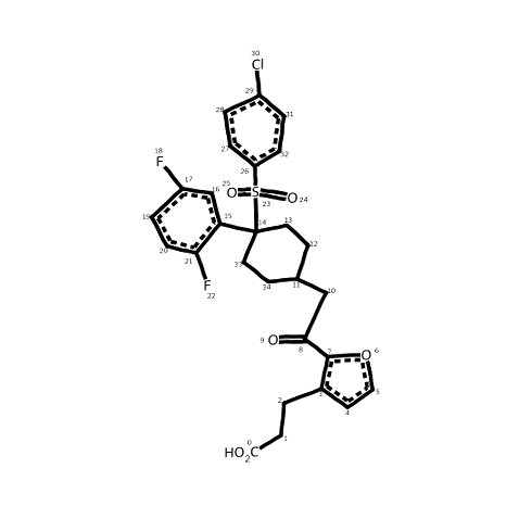 O=C(O)CCc1ccoc1C(=O)CC1CCC(c2cc(F)ccc2F)(S(=O)(=O)c2ccc(Cl)cc2)CC1